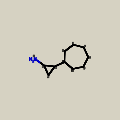 NC1CC1C1CCCCCC1